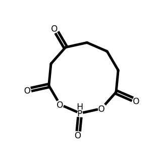 O=C1CCCC(=O)O[PH](=O)OC(=O)C1